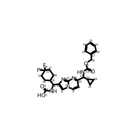 O=C(O)NC(c1cn2ccc(C(NC(=O)OCc3ccccc3)C3CC3)nc2n1)C1CCC(F)(F)CC1